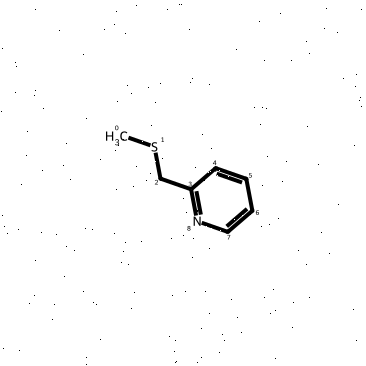 CSCc1[c]cccn1